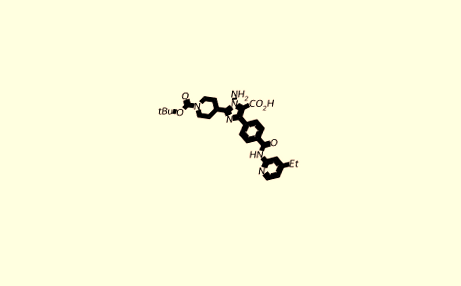 CCc1ccnc(NC(=O)c2ccc(-c3nc(C4CCN(C(=O)OC(C)(C)C)CC4)n(N)c3C(=O)O)cc2)c1